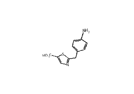 Nc1ccc(Cc2ncc(C(=O)O)s2)cc1